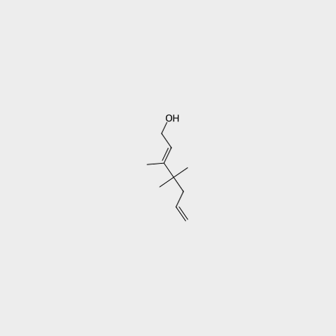 C=CCC(C)(C)C(C)=CCO